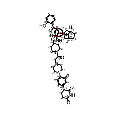 Nc1nnc(-c2ccccc2O)cc1N1C[C@H]2CC[C@@H](C1)N2c1cccc(OC2CCN(C(=O)CN3CCN(c4ccc([C@@H]5CCC(=O)NC5=O)cc4F)CC3)CC2)c1